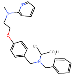 CCC(C(=O)O)N(Cc1ccccc1)Cc1ccc(OCCN(C)c2ccccn2)cc1